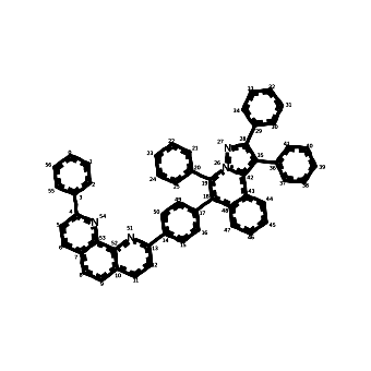 c1ccc(-c2ccc3ccc4ccc(-c5ccc(-c6c(-c7ccccc7)n7nc(-c8ccccc8)c(-c8ccccc8)c7c7ccccc67)cc5)nc4c3n2)cc1